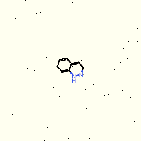 C1=CC2=CC[N]NC2=CC1